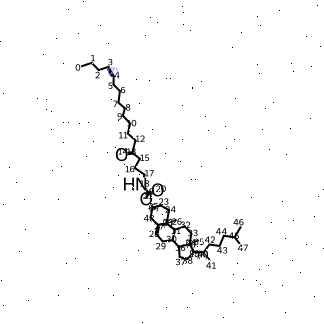 CCC/C=C\CCCCCCCCC(=O)CCCNC(=O)O[C@H]1CC[C@@]2(C)C(=CCC3C2CC[C@@]2(C)C3CC[C@@H]2[C@H](C)CCCC(C)C)C1